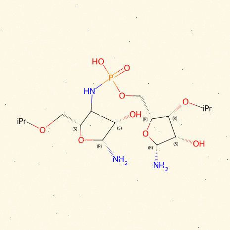 CC(C)OC[C@H]1O[C@@H](N)[C@@H](O)C1NP(=O)(O)OC[C@H]1O[C@@H](N)[C@@H](O)[C@H]1OC(C)C